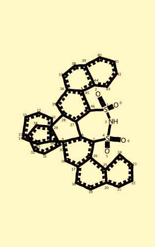 O=S1(=O)NS(=O)(=O)c2c(c(-c3ccccc3)cc3ccc4ccccc4c23)-c2c(-c3ccccc3)cc3ccc4ccccc4c3c21